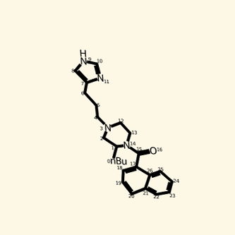 CCCCC1CN(CCCc2c[nH]cn2)CCN1C(=O)c1cccc2ccccc12